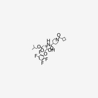 CC(C)COC(=O)C[C@H](NC(=O)C1CCN(C(=O)C2CCC2)CC1)C(O)COc1c(F)c(F)cc(F)c1F